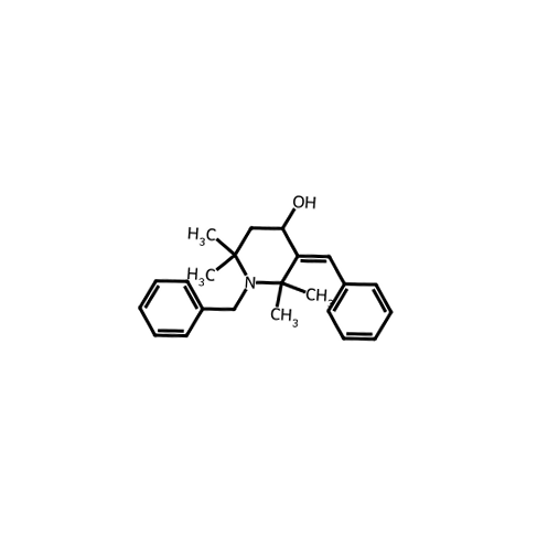 CC1(C)CC(O)/C(=C/c2ccccc2)C(C)(C)N1Cc1ccccc1